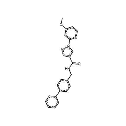 COc1ccnc(-n2cc(C(=O)NCc3ccc(-c4ccccc4)cc3)cn2)c1